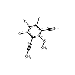 CC#Cc1c(Cl)c(F)c(I)c(C#N)c1OC